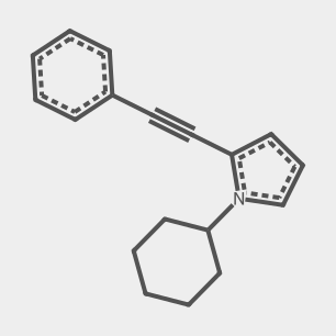 C(#Cc1cccn1C1CCCCC1)c1ccccc1